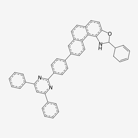 C1=CCC(C2Nc3c(ccc4ccc5cc(-c6ccc(-c7nc(-c8ccccc8)cc(-c8ccccc8)n7)cc6)ccc5c34)O2)C=C1